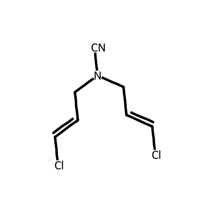 N#CN(CC=CCl)CC=CCl